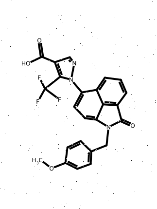 COc1ccc(CN2C(=O)c3cccc4c(-n5ncc(C(=O)O)c5C(F)(F)F)ccc2c34)cc1